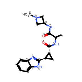 CC(NC(=O)[C@@H]1C[C@H]1c1nc2ccccc2[nH]1)C(=O)NC1CN(C(=O)O)C1